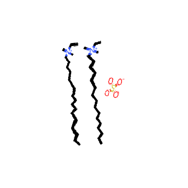 CCCCCCCCCCCCCCCC[N+](C)(C)CC.CCCCCCCCCCCCCCCC[N+](C)(C)CC.O=S(=O)([O-])[O-]